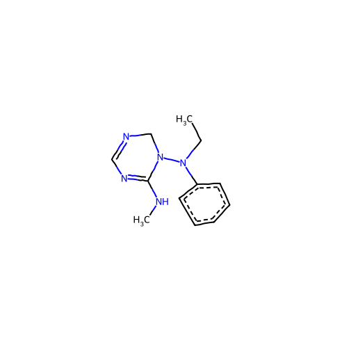 CCN(c1ccccc1)N1CN=CN=C1NC